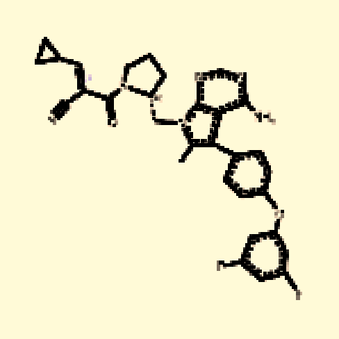 Cc1c(-c2ccc(Oc3cc(F)cc(F)c3)cc2)c2c(N)ncnc2n1C[C@H]1CCCN1C(=O)/C(C#N)=C/C1CC1